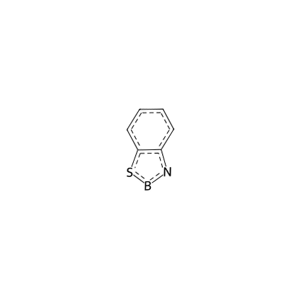 b1nc2ccccc2s1